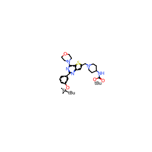 CC(C)(C)OC(=O)NC1CCN(Cc2cc3nc(-c4cccc(O[Si](C)(C)C(C)(C)C)c4)nc(N4CCOCC4)c3s2)CC1